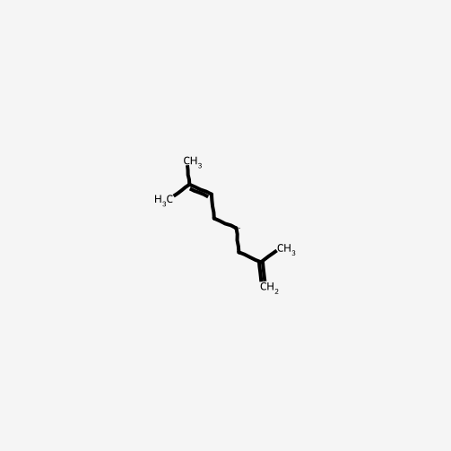 C=C(C)C[CH]CC=C(C)C